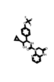 O=C1CN(C(=O)NC(c2ccc(OC(F)(F)F)cc2)C(O)C2CC2)c2ncccc2N1